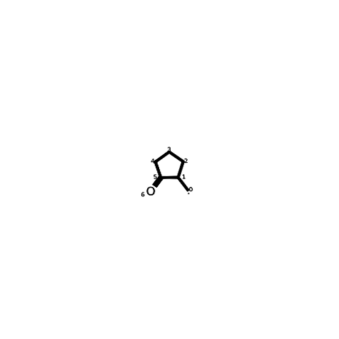 [CH2]C1CCCC1=O